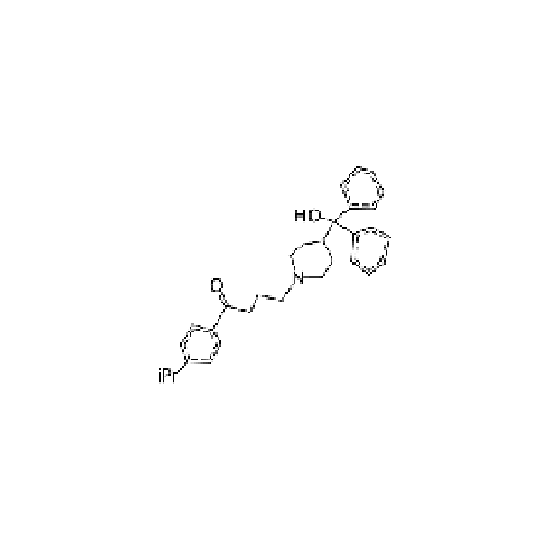 CC(C)c1ccc(C(=O)CCCN2CCC(C(O)(c3ccccc3)c3ccccc3)CC2)cc1